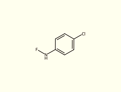 FNc1ccc(Cl)cc1